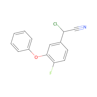 N#CC(Cl)c1ccc(F)c(Oc2ccccc2)c1